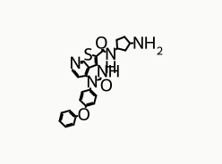 NC1CCC(NC(=O)c2sc3nccc4c3c2NC(=O)N4c2ccc(Oc3ccccc3)cc2)C1